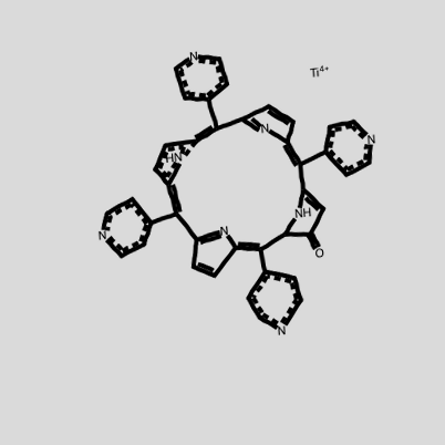 O=C1C=C2NC1C(c1ccncc1)=C1C=CC(=N1)C(c1ccncc1)=c1ccc([nH]1)=C(c1ccncc1)C1=NC(=C2c2ccncc2)C=C1.[Ti+4]